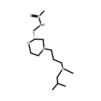 CC(C)CN(C)CCCN1CCO[C@H](CNS(C)=S)C1